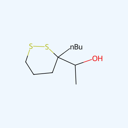 CCCCC1(C(C)O)CCCSS1